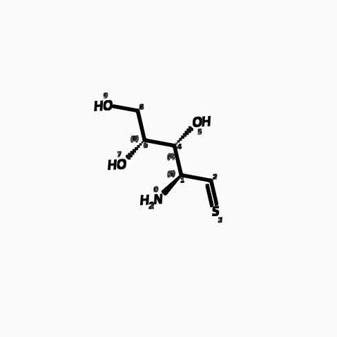 N[C@H](C=S)[C@@H](O)[C@H](O)CO